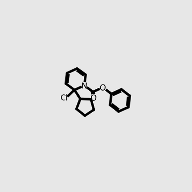 O=C(Oc1ccccc1)N1C=CC=CC1(Cl)C1CCCC1